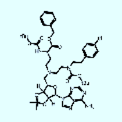 CC(C)(C)OC(=O)N[C@H](CCN(CCN(CCc1ccc(Cl)cc1)C(=O)OC(C)(C)C)C[C@H]1O[C@@H](n2cnc3c(N)ncnc32)[C@@H]2OC(C)(C)O[C@@H]21)C(=O)OCc1ccccc1